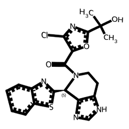 CC(C)(O)c1nc(Cl)c(C(=O)N2CCc3[nH]cnc3[C@H]2c2nc3ccccc3s2)o1